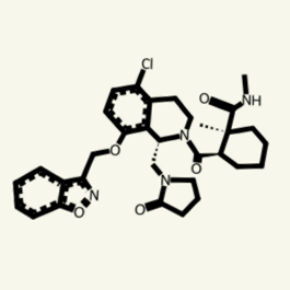 CNC(=O)[C@@]1(C)CCCC[C@H]1C(=O)N1CCc2c(Cl)ccc(OCc3noc4ccccc34)c2[C@H]1CN1CCCC1=O